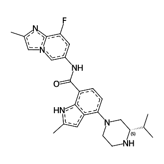 Cc1cn2cc(NC(=O)c3ccc(N4CCN[C@@H](C(C)C)C4)c4cc(C)[nH]c34)cc(F)c2n1